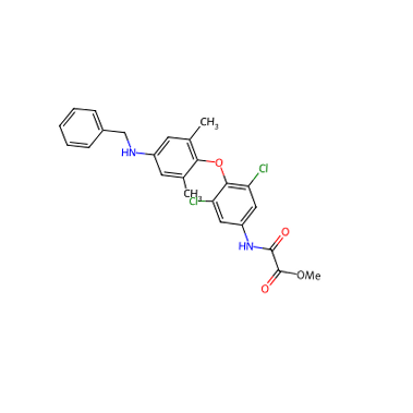 COC(=O)C(=O)Nc1cc(Cl)c(Oc2c(C)cc(NCc3ccccc3)cc2C)c(Cl)c1